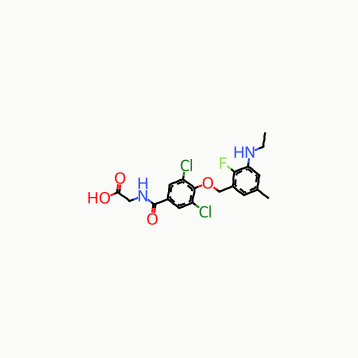 CCNc1cc(C)cc(COc2c(Cl)cc(C(=O)NCC(=O)O)cc2Cl)c1F